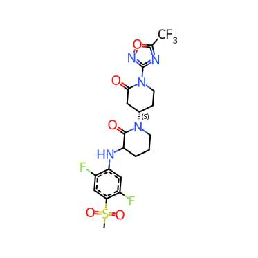 CS(=O)(=O)c1cc(F)c(NC2CCCN([C@H]3CCN(c4noc(C(F)(F)F)n4)C(=O)C3)C2=O)cc1F